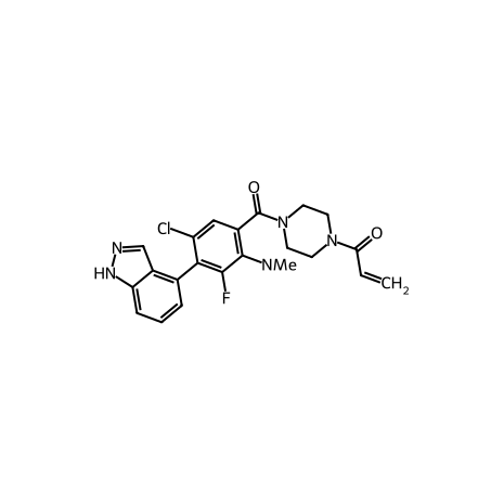 C=CC(=O)N1CCN(C(=O)c2cc(Cl)c(-c3cccc4[nH]ncc34)c(F)c2NC)CC1